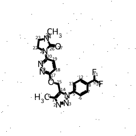 Cc1nnn(-c2ccc(C(F)F)cc2)c1COc1ccc(N2CCN(C)C2=O)nn1